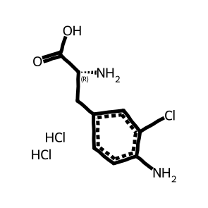 Cl.Cl.Nc1ccc(C[C@@H](N)C(=O)O)cc1Cl